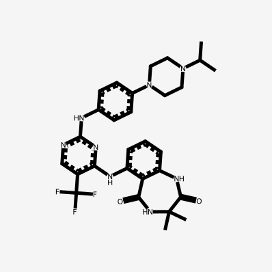 CC(C)N1CCN(c2ccc(Nc3ncc(C(F)(F)F)c(Nc4cccc5c4C(=O)NC(C)(C)C(=O)N5)n3)cc2)CC1